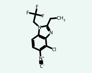 [C-]#[N+]c1ccc2c(nc(CC)n2CC(F)(F)F)c1Cl